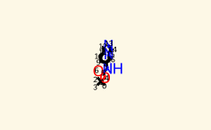 CC(C)(C)OC(=O)Nc1ccc2cncn2c1